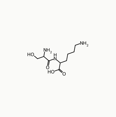 NCCCCC(NC(=O)C(N)CO)C(=O)O